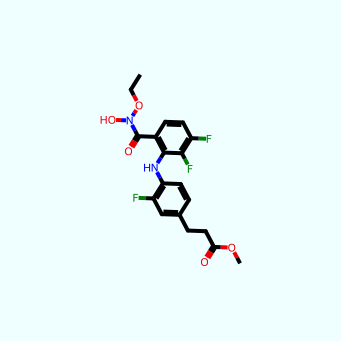 CCON(O)C(=O)c1ccc(F)c(F)c1Nc1ccc(CCC(=O)OC)cc1F